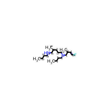 C=C(/C=C/F)CN(CCCC)CCCC(C)CNCCCC